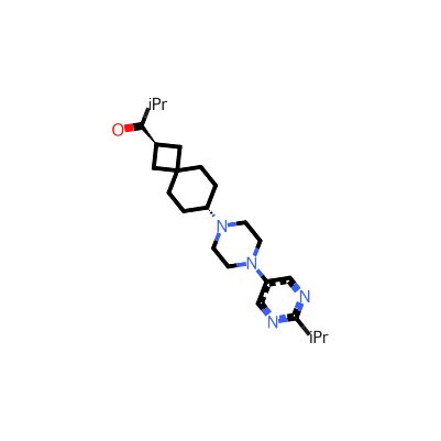 CC(C)c1ncc(N2CCN([C@H]3CCC4(CC3)C[C@H](C(=O)C(C)C)C4)CC2)cn1